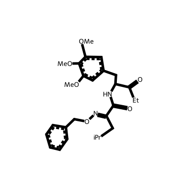 CCC(=O)C(Cc1cc(OC)c(OC)c(OC)c1)NC(=O)C(CC(C)C)=NOCc1ccccc1